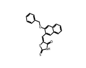 O=C1NC(=S)S/C1=C/c1cc2ccccc2cc1OCc1ccccc1